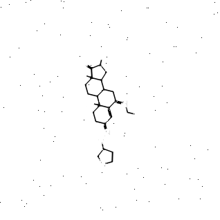 CC/N=C1/CC2C3CC(F)C(=O)C3(C)CCC2C2(C)CC/C(=N\OC3CCNC3)C=C12